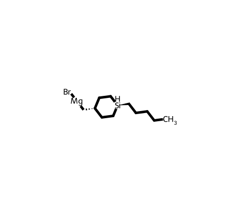 CCCCC[Si@H]1CC[C@H]([CH2][Mg][Br])CC1